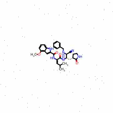 COc1cccc2[nH]c(C(=O)N/C(=C/C(C)C)C(=O)N[C@@H](C[C@@H]3CCNC3=O)C(C#N)NCc3ccccc3)cc12